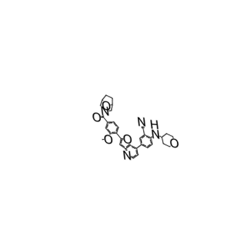 COc1cc(C(=O)N2CC3CCC(C2)O3)ccc1-c1cc2nccc(-c3ccc(NC4CCOCC4)c(C#N)c3)c2o1